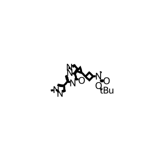 CN(C(=O)OC(C)(C)C)C1CC(Oc2nc(-c3cnn(C)c3)cn3nccc23)(C2CC2)C1